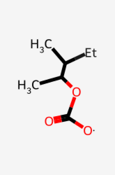 CCC(C)C(C)OC([O])=O